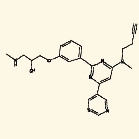 C#CCCN(C)c1cc(-c2cncnc2)nc(-c2cccc(OCC(O)CNC)c2)n1